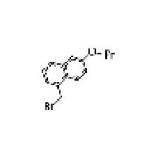 CC(C)Oc1ccc2c(CBr)cccc2c1